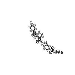 CNS(=O)(=O)c1ccc(CNC(=O)N2CCCc3c2cnn3-c2ccc(F)cc2)cc1